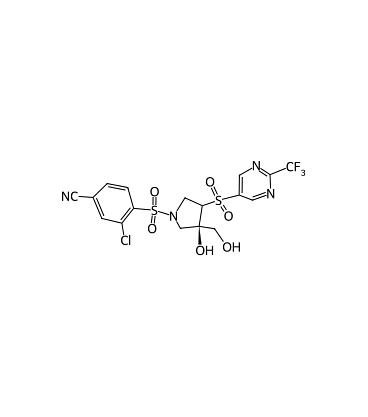 N#Cc1ccc(S(=O)(=O)N2CC(S(=O)(=O)c3cnc(C(F)(F)F)nc3)[C@](O)(CO)C2)c(Cl)c1